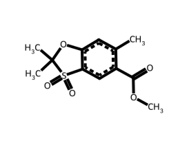 COC(=O)c1cc2c(cc1C)OC(C)(C)S2(=O)=O